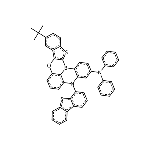 CC(C)(C)c1ccc2sc3c(c2c1)Oc1cccc2c1B3c1ccc(N(c3ccccc3)c3ccccc3)cc1N2c1cccc2c1sc1ccccc12